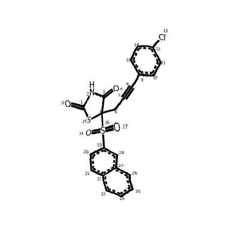 O=C1NC(=O)C(CC#Cc2ccc(Cl)cc2)(S(=O)(=O)c2ccc3ccccc3c2)S1